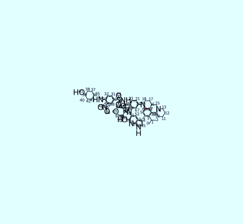 CC(C)c1ccccc1[C@@H]1CCCCN1CC1CCN(c2ccc(C(=O)NS(=O)(=O)c3ccc(NC[C@H]4CC[C@](C)(O)CC4)c([N+](=O)[O-])c3)c(N3c4cc5cc[nH]c5nc4O[C@H]4COCC[C@@H]43)c2)CC1